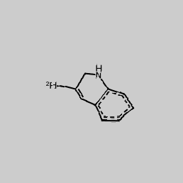 [2H]C1=Cc2ccccc2NC1